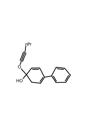 CCCC#COC1(O)C=CC(c2ccccc2)=CC1